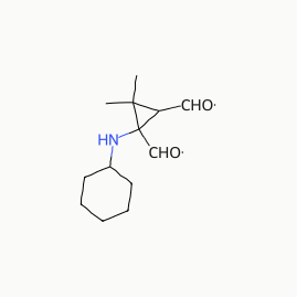 CC1(C)C([C]=O)C1([C]=O)NC1CCCCC1